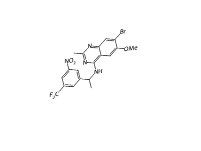 COc1cc2c(NC(C)c3cc([N+](=O)[O-])cc(C(F)(F)F)c3)nc(C)nc2cc1Br